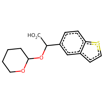 O=C(O)C(OC1CCCCO1)c1ccc2sccc2c1